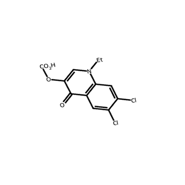 CCn1cc(OC(=O)O)c(=O)c2cc(Cl)c(Cl)cc21